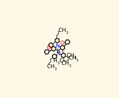 CCCCc1ccc(N2B3c4cc5c(cc4N(c4ccc(CCCC)cc4-c4ccccc4)c4c3c(cc3c4oc4ccccc43)-c3cc4c(cc32)C(C)(C)CCC4(C)C)oc2ccccc25)cc1